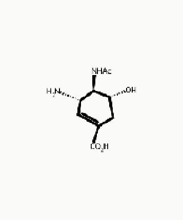 CC(=O)N[C@H]1[C@H](O)CC(C(=O)O)=C[C@@H]1N